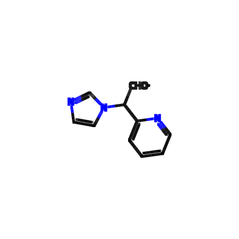 O=[C]C(c1ccccn1)n1ccnc1